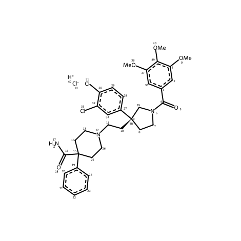 COc1cc(C(=O)N2CC[C@](CCN3CCC(C(N)=O)(c4ccccc4)CC3)(c3ccc(Cl)c(Cl)c3)C2)cc(OC)c1OC.[Cl-].[H+]